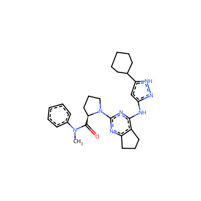 CN(C(=O)[C@H]1CCCN1c1nc2c(c(Nc3cc(C4CCCCC4)[nH]n3)n1)CCC2)c1ccccc1